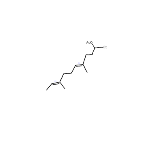 C/C=C(\C)CC/C=C(\C)CCC(CC)OC(C)=O